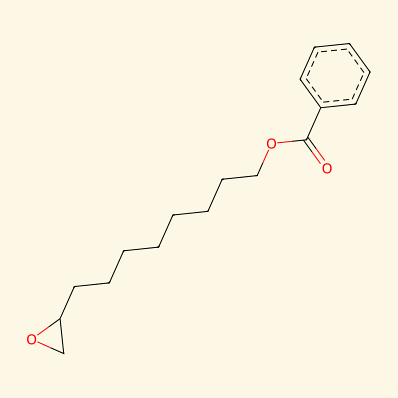 O=C(OCCCCCCCCC1CO1)c1ccccc1